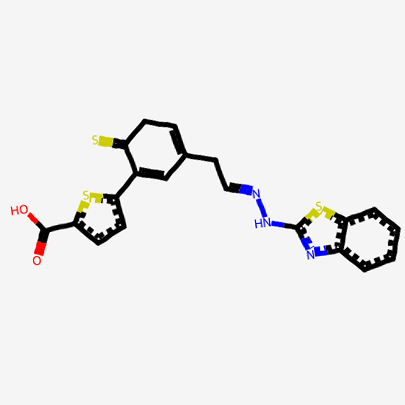 O=C(O)c1ccc(C2=CC(CC=NNc3nc4ccccc4s3)=CCC2=S)s1